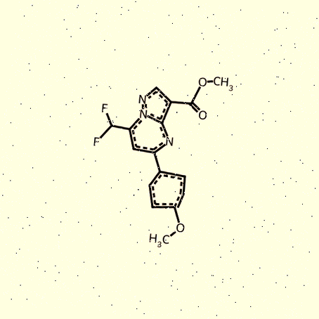 COC(=O)c1cnn2c(C(F)F)cc(-c3ccc(OC)cc3)nc12